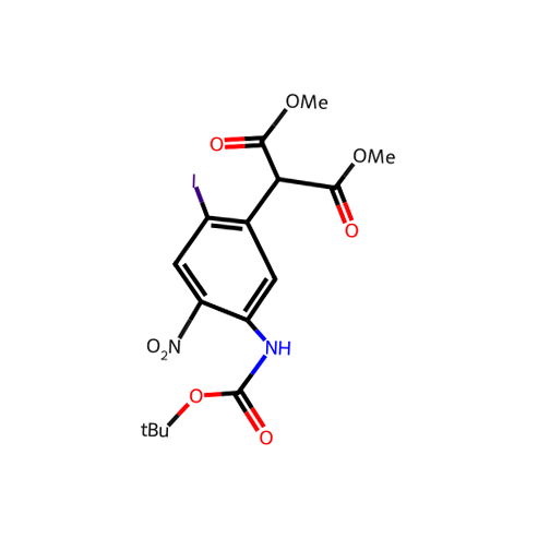 COC(=O)C(C(=O)OC)c1cc(NC(=O)OC(C)(C)C)c([N+](=O)[O-])cc1I